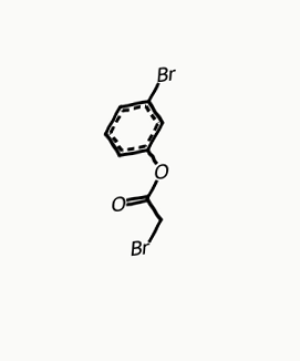 O=C(CBr)Oc1cccc(Br)c1